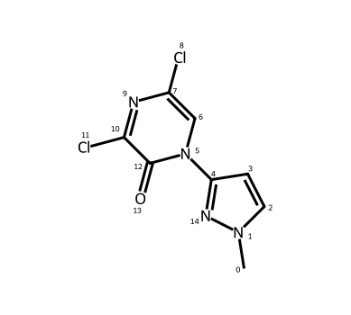 Cn1ccc(-n2cc(Cl)nc(Cl)c2=O)n1